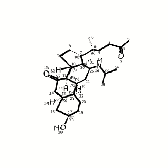 CC(=O)CC[C@@H](C)[C@H]1CC[C@H]2[C@@H]3C(=O)C[C@@H]4C[C@H](O)CC[C@]4(C)[C@H]3CC(NC(C)C)[C@]12C